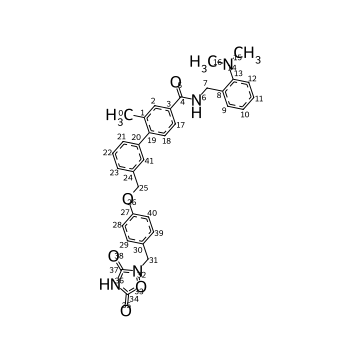 Cc1cc(C(=O)NCc2ccccc2N(C)C)ccc1-c1cccc(COc2ccc(Cn3oc(=O)[nH]c3=O)cc2)c1